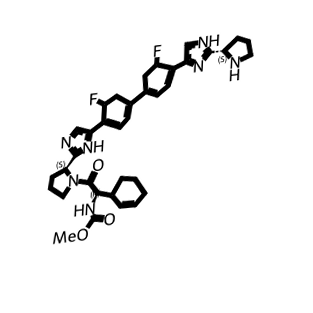 COC(=O)N[C@@H](C(=O)N1CCC[C@H]1c1ncc(C2=CC=C(C3=CC=C(c4c[nH]c([C@@H]5CCCN5)n4)C(F)C3)CC2F)[nH]1)C1C=CCCC1